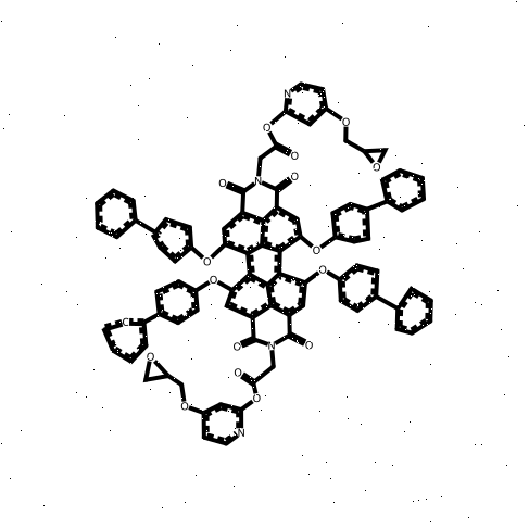 O=C(CN1C(=O)c2cc(Oc3ccc(-c4ccccc4)cc3)c3c4c(Oc5ccc(-c6ccccc6)cc5)cc5c6c(cc(Oc7ccc(-c8ccccc8)cc7)c(c7c(Oc8ccc(-c9ccccc9)cc8)cc(c2c37)C1=O)c64)C(=O)N(CC(=O)Oc1cc(OCC2CO2)ccn1)C5=O)Oc1cc(OCC2CO2)ccn1